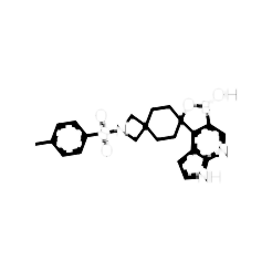 Cc1ccc(S(=O)(=O)N2CC3(CCC4(CC3)OB(O)c3cnc5[nH]ccc5c34)C2)cc1